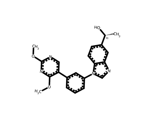 COc1ncc(-c2cccc(-n3cnc4cc([C@@H](C)O)ccc43)c2)c(OC)n1